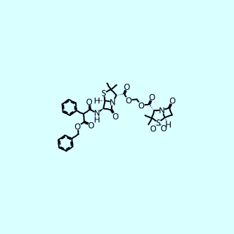 CC1(C)S[C@@H]2[C@H](NC(=O)C(C(=O)OCc3ccccc3)c3ccccc3)C(=O)N2[C@H]1C(=O)OCOC(=O)[C@@H]1N2C(=O)C[C@H]2S(=O)(=O)C1(C)C